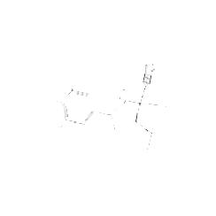 CCCC(F)(C#N)NC(C)c1ccccc1